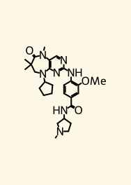 COc1cc(C(=O)NC2CCN(C)C2)ccc1Nc1ncc2c(n1)N(C1CCCC1)CC(C)(C)C(=O)N2C